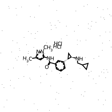 Cc1cc(NC(=O)c2cccc([C@@H]3C[C@H]3NCC3CC3)c2)n(C)n1.Cl.Cl